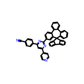 N#Cc1ccc(-c2cc(-c3ccncc3)nc(-c3ccc4c(c3)C3(c5ccccc5-c5ccccc5-4)c4ccccc4-c4ccccc43)n2)cc1